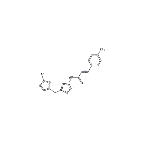 CC(=O)c1ncc(Cn2cc(NC(=O)/C=C/c3ccc(C(F)(F)F)cc3)cn2)s1